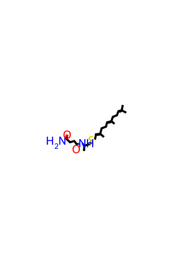 CC(C)=CCC/C(C)=C/CC/C(C)=C/CSCC(C)NC(=O)CCC(N)=O